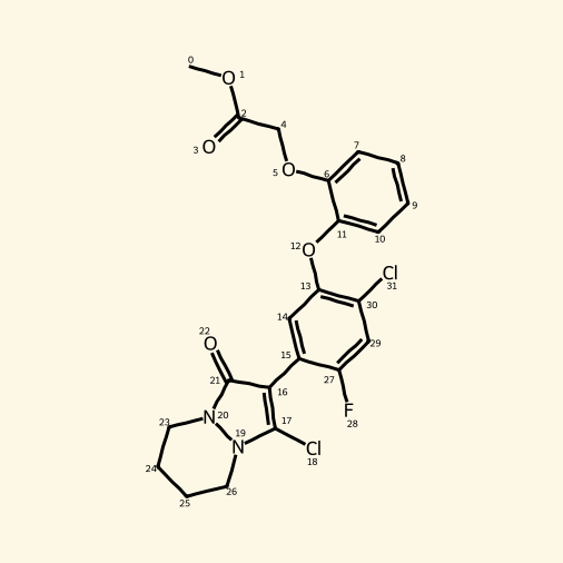 COC(=O)COc1ccccc1Oc1cc(-c2c(Cl)n3n(c2=O)CCCC3)c(F)cc1Cl